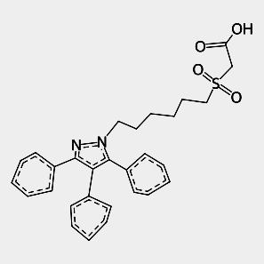 O=C(O)CS(=O)(=O)CCCCCCn1nc(-c2ccccc2)c(-c2ccccc2)c1-c1ccccc1